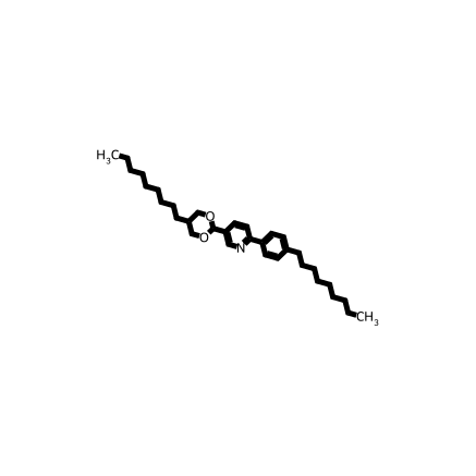 CCCCCCCCCc1ccc(-c2ccc(C3OCC(CCCCCCCCC)CO3)cn2)cc1